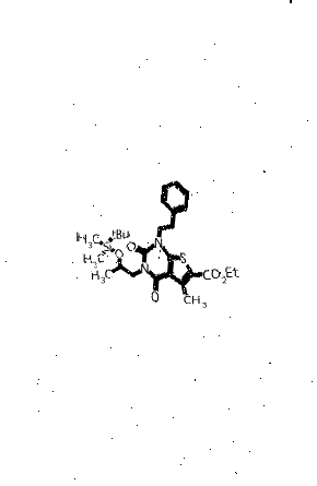 CCOC(=O)c1sc2c(c1C)c(=O)n(CC(C)O[Si](C)(C)C(C)(C)C)c(=O)n2CCc1ccccc1